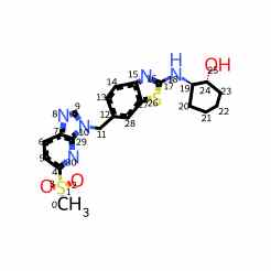 CS(=O)(=O)c1ccc2ncn(Cc3ccc4nc(N[C@@H]5CCCC[C@H]5O)sc4c3)c2n1